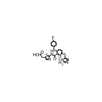 Cn1cnnc1Sc1ccc(Sc2ccc(F)cc2)c(C(=O)Nc2ncc(CC(=O)O)s2)n1